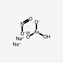 O=N[O-].[Na+].[Na+].[O-][As](O)O